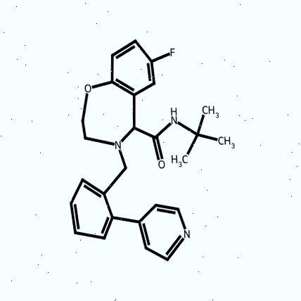 CC(C)(C)NC(=O)C1c2cc(F)ccc2OCCN1Cc1ccccc1-c1ccncc1